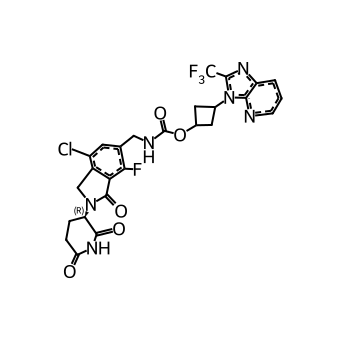 O=C1CC[C@@H](N2Cc3c(Cl)cc(CNC(=O)OC4CC(n5c(C(F)(F)F)nc6cccnc65)C4)c(F)c3C2=O)C(=O)N1